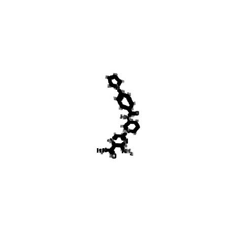 NC(=O)c1ncc(N2CCC[C@@H](NC(=O)c3ccc(N4CCCC4)cc3)C2)nc1N